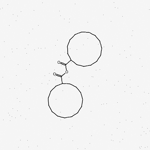 O=C(OC(=O)C1CCCCCCCCCCCCCC1)C1CCCCCCCCCCCCCC1